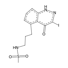 CS(=O)(=O)NCCCc1cccc2[nH]nc(I)c(=O)c12